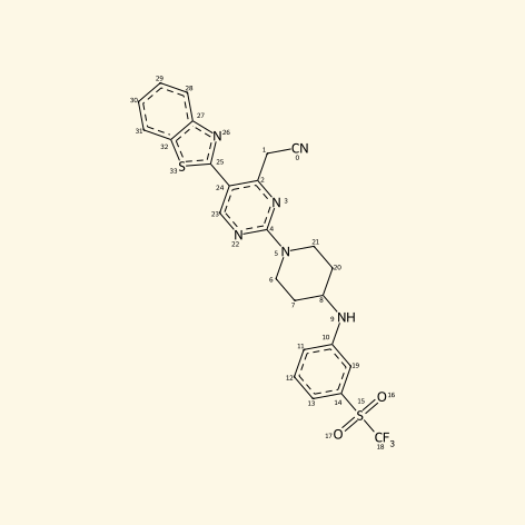 N#CCc1nc(N2CCC(Nc3cccc(S(=O)(=O)C(F)(F)F)c3)CC2)ncc1-c1nc2ccccc2s1